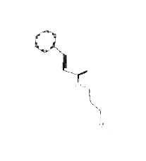 NCCCOC(=O)C=Cc1ccccc1